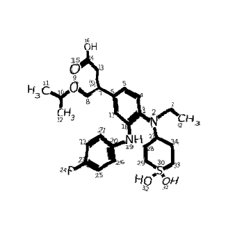 CCN(c1ccc([C@@H](COC(C)C)CC(=O)O)cc1Nc1ccc(F)cc1)C1CCS(O)(O)CC1